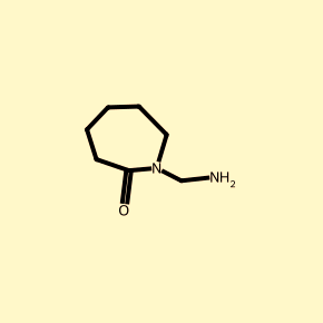 NCN1CCCCCC1=O